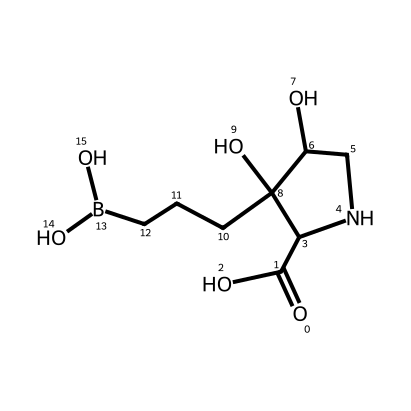 O=C(O)C1NCC(O)C1(O)CCCB(O)O